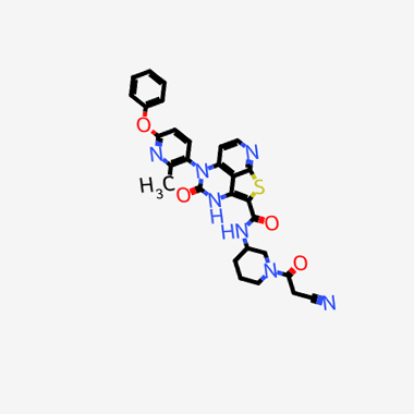 Cc1nc(Oc2ccccc2)ccc1N1C(=O)Nc2c(C(=O)NC3CCCN(C(=O)CC#N)C3)sc3nccc1c23